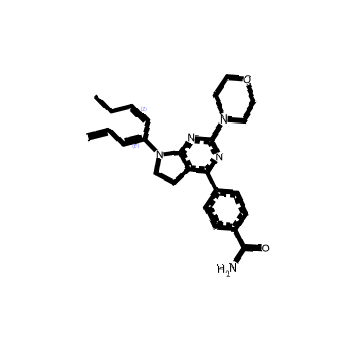 C=C/C=C(\C=C/CC)N1CCc2c(-c3ccc(C(N)=O)cc3)nc(N3CCOCC3)nc21